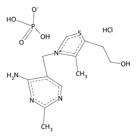 Cc1ncc(C[n+]2csc(CCO)c2C)c(N)n1.Cl.O=P([O-])(O)O